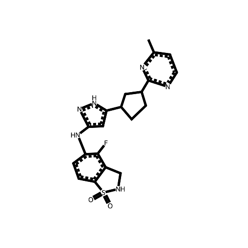 Cc1ccnc(C2CCC(c3cc(Nc4ccc5c(c4F)CNS5(=O)=O)n[nH]3)C2)n1